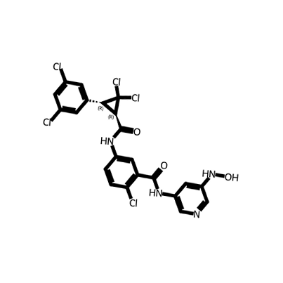 O=C(Nc1cncc(NO)c1)c1cc(NC(=O)[C@H]2[C@H](c3cc(Cl)cc(Cl)c3)C2(Cl)Cl)ccc1Cl